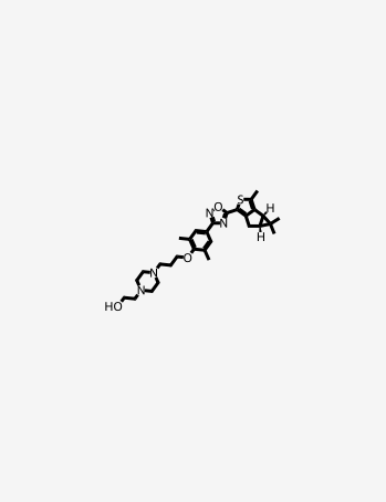 Cc1cc(-c2noc(-c3sc(C)c4c3C[C@@H]3[C@H]4C3(C)C)n2)cc(C)c1OCCCN1CCN(CCO)CC1